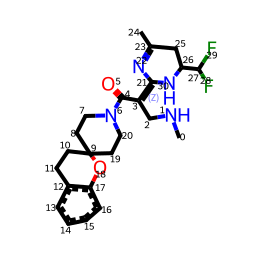 CNC/C(C(=O)N1CCC2(CCc3ccccc3O2)CC1)=C1/N=C(C)CC(C(F)F)N1